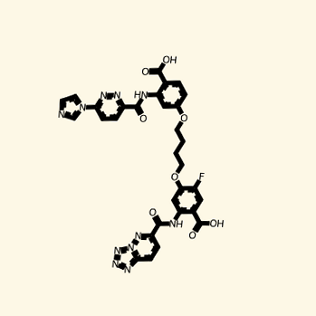 O=C(Nc1cc(OCCCCOc2cc(NC(=O)c3ccc4nnnn4n3)c(C(=O)O)cc2F)ccc1C(=O)O)c1ccc(-n2ccnc2)nn1